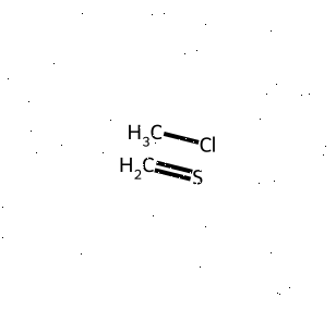 C=S.CCl